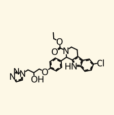 CCOC(=O)N1CCc2c([nH]c3ccc(Cl)cc23)C1c1ccc(OCC(O)Cn2ccnn2)cc1